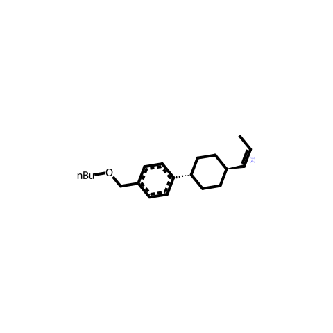 C/C=C\[C@H]1CC[C@H](c2ccc(COCCCC)cc2)CC1